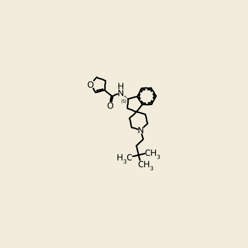 CC(C)(C)CCN1CCC2(CC1)C[C@H](NC(=O)C1=COCC1)c1ccccc12